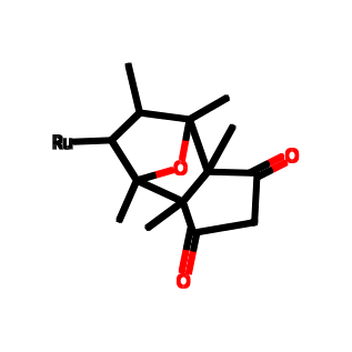 CC1[CH]([Ru])C2(C)OC1(C)C1(C)C(=O)CC(=O)C21C